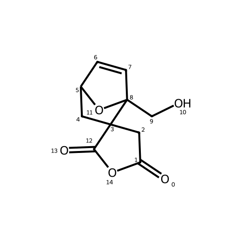 O=C1CC2(CC3C=CC2(CO)O3)C(=O)O1